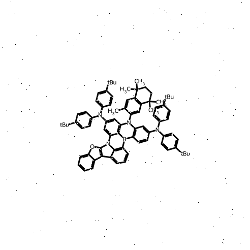 Cc1cc2c(cc1N1c3cc(N(c4ccc(C(C)(C)C)cc4)c4ccc(C(C)(C)C)cc4)ccc3B3c4c1cc(N(c1ccc(C(C)(C)C)cc1)c1ccc(C(C)(C)C)cc1)cc4-n1c4oc5ccccc5c4c4cccc3c41)C(C)(C)CCC2(C)C